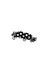 CN(O)C(=O)[C@@]1(C)CC[C@]2(C)CC[C@]3(C)C(=CC(=O)[C@@H]4[C@@]5(C)CC[C@H](NS(C)(=O)=O)C(C)(C)C5CC[C@]43C)[C@@H]2C1